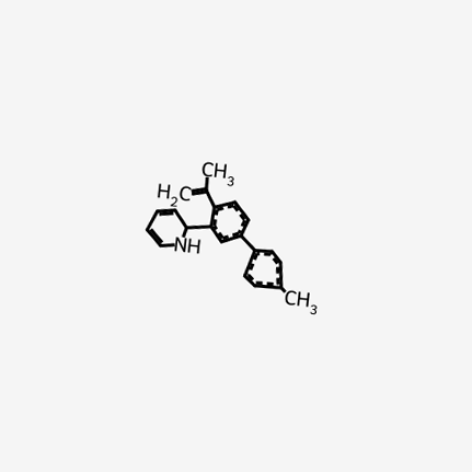 C=C(C)c1ccc(-c2ccc(C)cc2)cc1C1C=CC=CN1